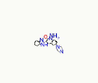 CN1CCN(c2ccc3c(c2)cc(-c2nc4ccccc4[nH]2)c(=O)n3N)CC1